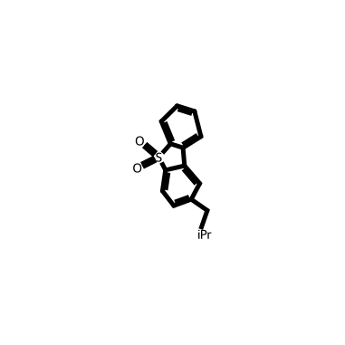 CC(C)Cc1ccc2c(c1)-c1ccccc1S2(=O)=O